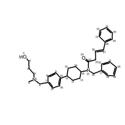 CN(CCCO)Cc1ccc(C2CCC(N(Cc3ccccc3)C(=O)C/C=C/c3ccccc3)CC2)cc1